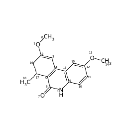 COC1=Cc2c(c(=O)[nH]c3ccc(OC)cc23)C(C)C1